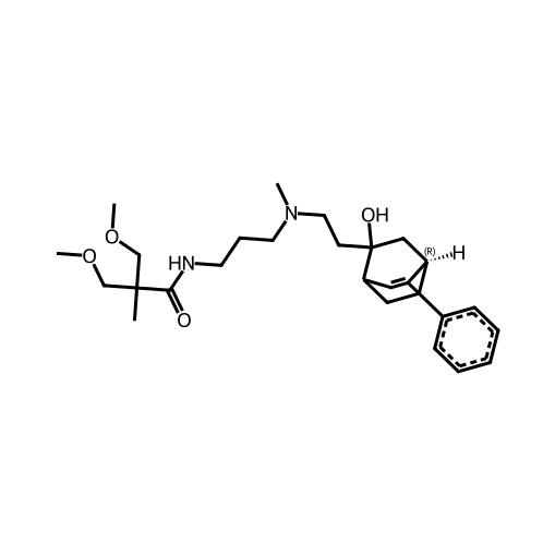 COCC(C)(COC)C(=O)NCCCN(C)CCC1(O)C[C@H]2CCC1C=C2c1ccccc1